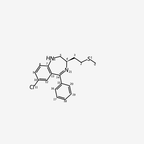 CSCC[C@@H]1CNc2ccc(Cl)cc2C(c2ccccc2)=N1